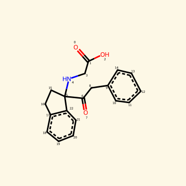 O=C(O)CNC1(C(=O)Cc2ccccc2)CCc2ccccc21